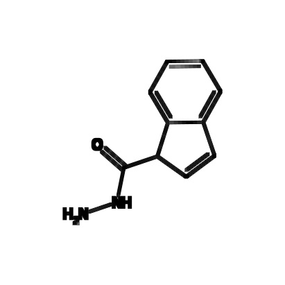 NNC(=O)C1C=Cc2ccccc21